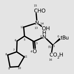 CC(C)(C)[C@H](NC(=O)C(CC1CCCC1)CN(O)C=O)C(=O)O